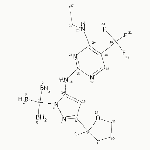 BC(B)(B)n1nc(C2(C)CCCO2)cc1Nc1ncc(C(F)(F)F)c(NCC)n1